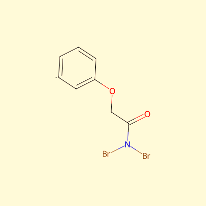 O=C(COc1c[c]ccc1)N(Br)Br